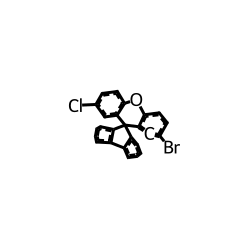 Clc1ccc2c(c1)C1(c3cc(Br)ccc3O2)c2ccccc2-c2ccccc21